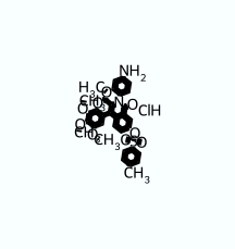 COC(=O)c1c(-c2cc(OC)c(OC)c(OC)c2)c2ccc(OS(=O)(=O)c3ccc(C)cc3)cc2c(=O)n1-c1ccc(N)cc1.Cl